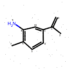 C=C(C)c1ccc(C)c(N)c1